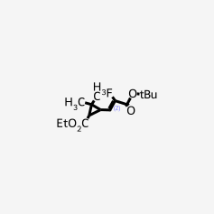 CCOC(=O)C1C(/C=C(\F)C(=O)OC(C)(C)C)C1(C)C